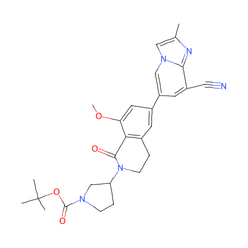 COc1cc(-c2cc(C#N)c3nc(C)cn3c2)cc2c1C(=O)N(C1CCN(C(=O)OC(C)(C)C)C1)CC2